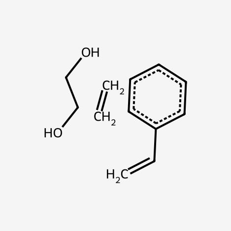 C=C.C=Cc1ccccc1.OCCO